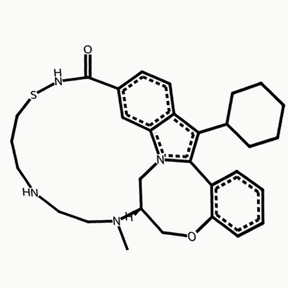 CN1CCNCCCSNC(=O)c2ccc3c(C4CCCCC4)c4n(c3c2)C[C@@H]1COc1ccccc1-4